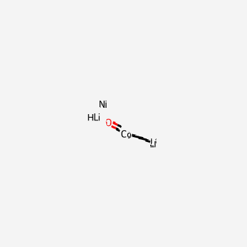 [LiH].[Li][Co]=[O].[Ni]